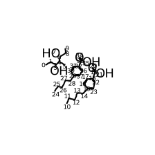 CCC(O)C(C)C(O)CC.CCCCCc1ccc(C(=O)O)cc1.CCCCCc1ccc(C(=O)O)cc1